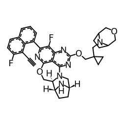 C#Cc1c(F)ccc2cccc(-c3nc4c5c(nc(OCC6(CN7C8CCC7COC8)CC6)nc5c3F)N3C[C@@H]5CC[C@@H](N5)[C@H]3CO4)c12